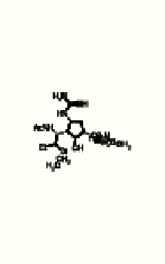 CCC(CC)[C@H](NC(C)=O)[C@H]1[C@H](O)[C@@H](C(=O)O)C[C@H]1NC(=N)N.O.O.O.O.O.O